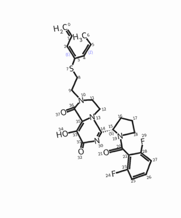 C=C/C=C(\C=C/C)SCCN1CCn2c([C@@H]3CCCN3C(=O)c3c(F)cccc3F)nc(=O)c(O)c2C1=O